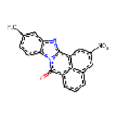 O=c1c2cccc3cc([N+](=O)[O-])cc(c32)c2nc3cc(C(F)(F)F)ccc3n12